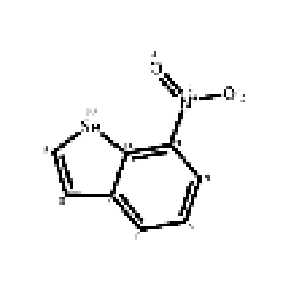 O=[N+]([O-])c1cccc2cc[se]c12